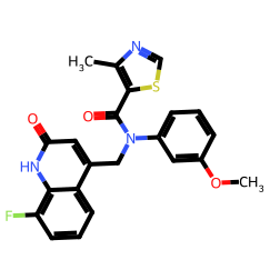 COc1cccc(N(Cc2cc(=O)[nH]c3c(F)cccc23)C(=O)c2scnc2C)c1